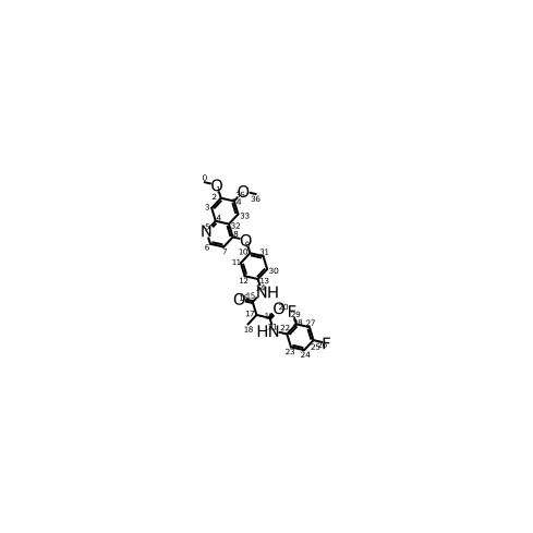 COc1cc2nccc(Oc3ccc(NC(=O)C(C)C(=O)Nc4ccc(F)cc4F)cc3)c2cc1OC